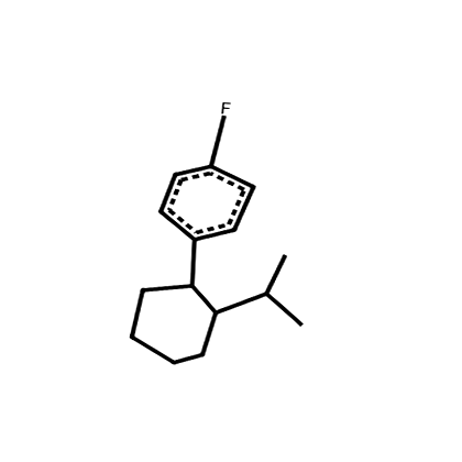 CC(C)C1CCCCC1c1ccc(F)cc1